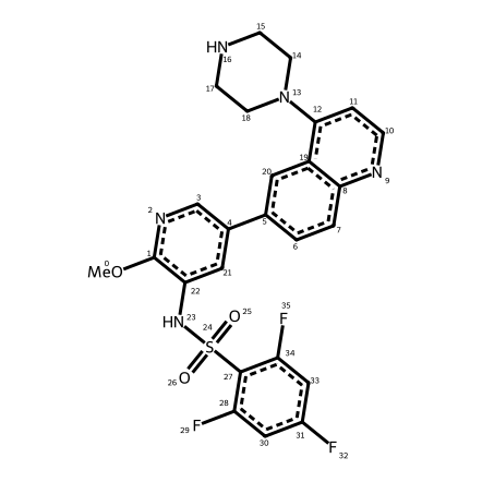 COc1ncc(-c2ccc3nccc(N4CCNCC4)c3c2)cc1NS(=O)(=O)c1c(F)cc(F)cc1F